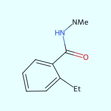 CCc1ccccc1C(=O)NNC